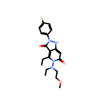 CCc1c2c(=O)n(-c3ccc(F)cc3)[nH]c2cc(=O)n1N(CC)CCOC